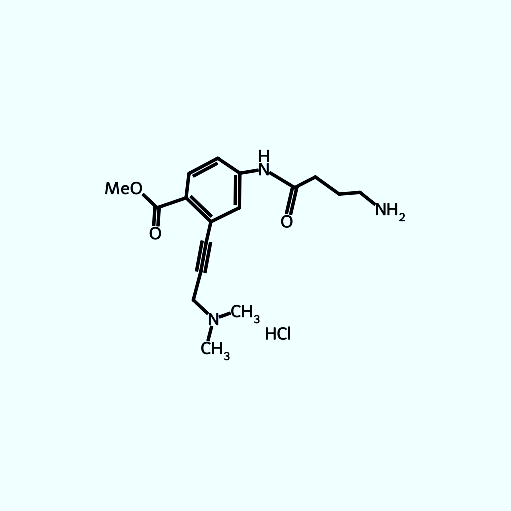 COC(=O)c1ccc(NC(=O)CCCN)cc1C#CCN(C)C.Cl